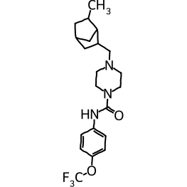 CC1CC2CC(CN3CCN(C(=O)Nc4ccc(OC(F)(F)F)cc4)CC3)C1C2